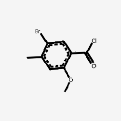 COc1cc(C)c(Br)cc1C(=O)Cl